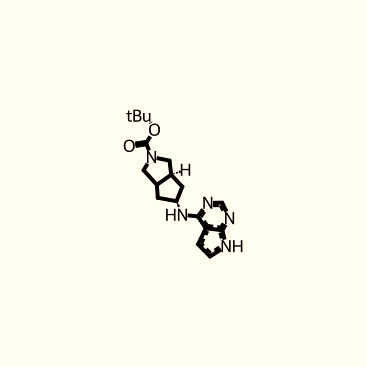 CC(C)(C)OC(=O)N1CC2C[C@@H](Nc3ncnc4[nH]ccc34)C[C@@H]2C1